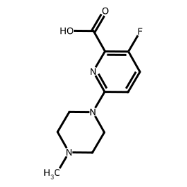 CN1CCN(c2ccc(F)c(C(=O)O)n2)CC1